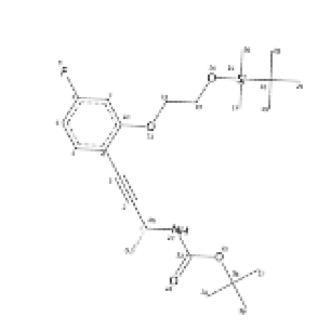 C[C@H](C#Cc1ccc(F)cc1OCCO[Si](C)(C)C(C)(C)C)NC(=O)OC(C)(C)C